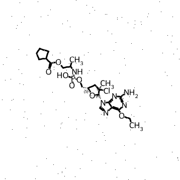 CCOc1nc(N)nc2c1ncn2[C@@H]1O[C@H](COP(=O)(O)NC(C)COC(=O)C2CCCC2)C[C@@]1(C)Cl